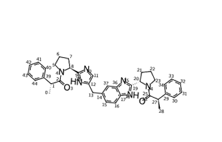 C[C@@H](C(=O)N1CCC[C@H]1c1ncc(Cc2ccc3[nH]c([C@@H]4CCCN4C(=O)[C@H](C)c4ccccc4)nc3c2)[nH]1)c1ccccc1